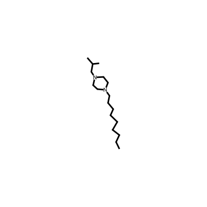 CCCCCCCCCN1CCN(CC(C)C)CC1